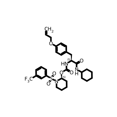 C=CCOc1ccc(C[C@H](NC(=O)O[C@H]2CCCCN2S(=O)(=O)c2cccc(C(F)(F)F)c2)C(=O)NC2CCCCC2)cc1